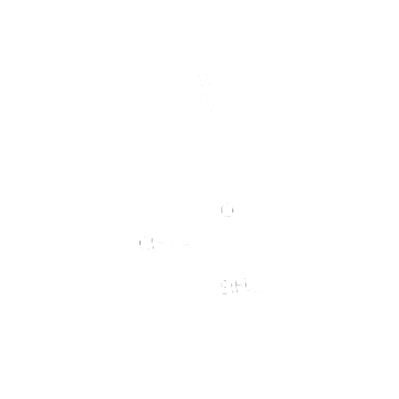 C=CCOC(Cl)[SiH](C)C